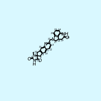 CN1C(=O)NC(=O)C12Cc1cc3ccc(CN4CC5CC(=O)Nc6cccc4c65)nc3cc1C2